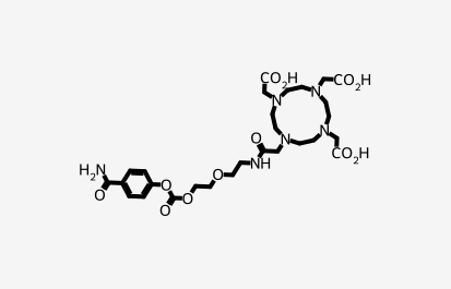 NC(=O)c1ccc(OC(=O)OCCOCCNC(=O)CN2CCN(CC(=O)O)CCN(CC(=O)O)CCN(CC(=O)O)CC2)cc1